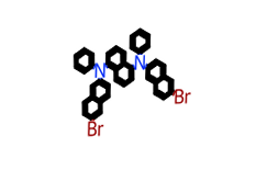 Brc1ccc2cc(N(c3ccccc3)c3cccc4c(N(c5ccccc5)c5ccc6cc(Br)ccc6c5)cccc34)ccc2c1